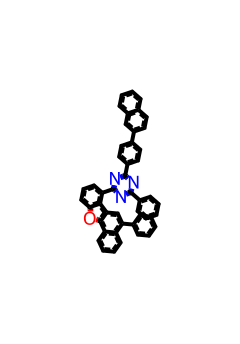 c1ccc(-c2nc(-c3ccc(-c4ccc5ccccc5c4)cc3)nc(-c3cccc4oc5c6ccccc6c(-c6ccccc6)cc5c34)n2)cc1